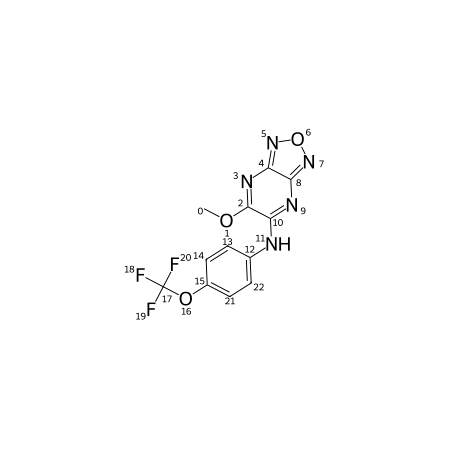 COc1nc2nonc2nc1Nc1ccc(OC(F)(F)F)cc1